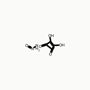 NN=O.O=c1c(O)c(O)c1=O